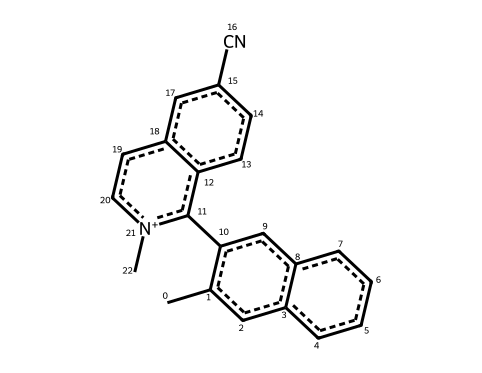 Cc1cc2ccccc2cc1-c1c2ccc(C#N)cc2cc[n+]1C